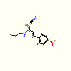 CCCNC(/C=C/c1ccc(OC)cc1)=N/C#N